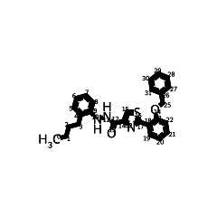 CCCCc1ccccc1NNC(=O)c1csc(-c2ccccc2OCc2ccccc2)n1